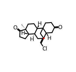 C[C@]12CC[C@H]3[C@@H](CC[C@H]4CC(=O)CCC43CC=CCl)[C@@H]1CCC2=O